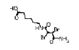 NC(=O)C(Br)C(Br)C(=O)NCCCCCC(=O)O